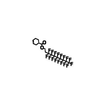 O=C(OCCC(F)(F)C(F)(F)C(F)(F)C(F)(F)C(F)(F)C(F)(F)C(F)(F)C(F)(F)F)C1CC=CCC1